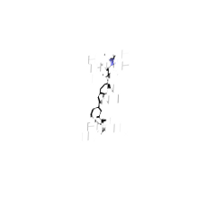 C/C(N)=C(\C)C(=N)C(=O)Nc1cnc2[nH]c(-c3ccnc(C(=O)NC(C)C)c3)cc2c1